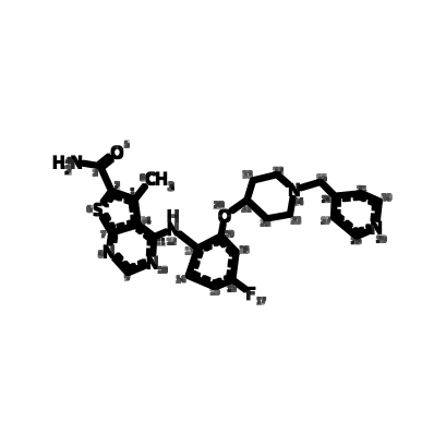 Cc1c(C(N)=O)sc2ncnc(Nc3ccc(F)cc3OC3CCN(Cc4ccncc4)CC3)c12